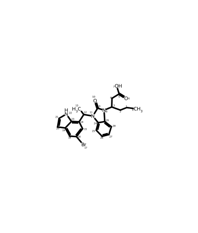 CCCC(CC(=O)O)n1c(=O)n(C(C)c2cc(Br)cc3cc[nH]c23)c2ccccc21